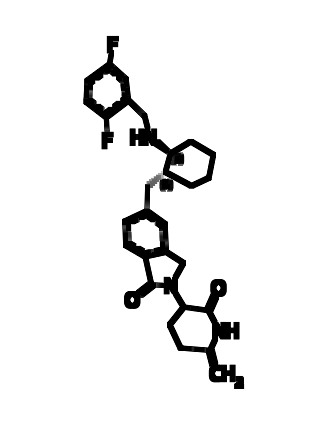 C=C1CCC(N2Cc3cc(C[C@H]4CCCC[C@@H]4NCc4cc(F)ccc4F)ccc3C2=O)C(=O)N1